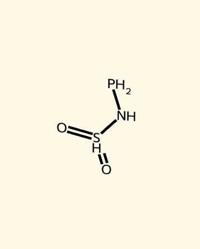 O=[SH](=O)NP